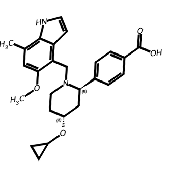 COc1cc(C)c2[nH]ccc2c1CN1CC[C@@H](OC2CC2)C[C@@H]1c1ccc(C(=O)O)cc1